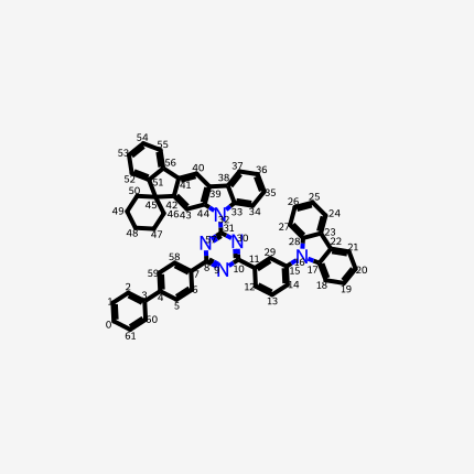 c1ccc(-c2ccc(-c3nc(-c4cccc(-n5c6ccccc6c6ccccc65)c4)nc(-n4c5ccccc5c5cc6c(cc54)C4(CCCCC4)c4ccccc4-6)n3)cc2)cc1